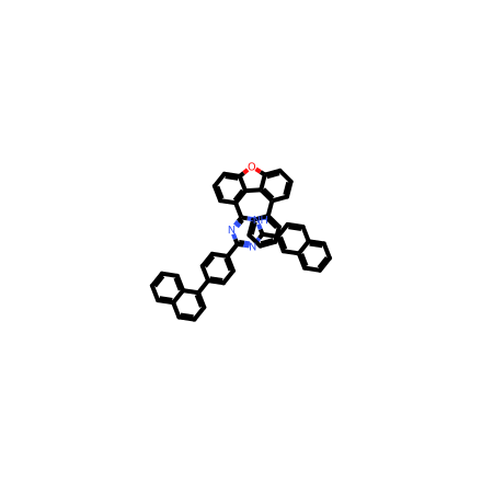 c1ccc(-c2cccc3oc4cccc(C5=NC(c6ccc(-c7cccc8ccccc78)cc6)=NC(c6ccc7ccccc7c6)N5)c4c23)cc1